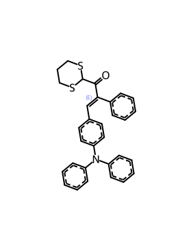 O=C(/C(=C/c1ccc(N(c2ccccc2)c2ccccc2)cc1)c1ccccc1)C1SCCCS1